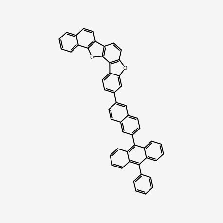 c1ccc(-c2c3ccccc3c(-c3ccc4cc(-c5ccc6c(c5)oc5ccc7c8ccc9ccccc9c8oc7c56)ccc4c3)c3ccccc23)cc1